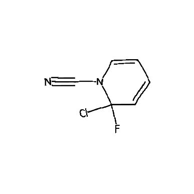 N#CN1C=CC=CC1(F)Cl